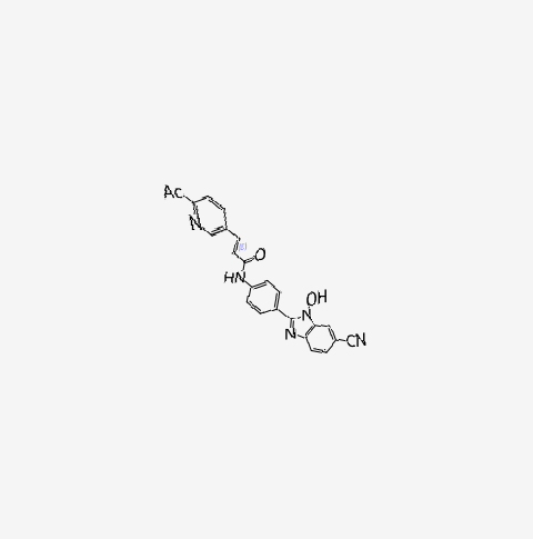 CC(=O)c1ccc(/C=C/C(=O)Nc2ccc(-c3nc4ccc(C#N)cc4n3O)cc2)cn1